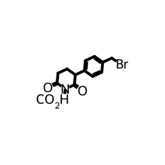 O=C(O)N1C(=O)CCC(c2ccc(CBr)cc2)C1=O